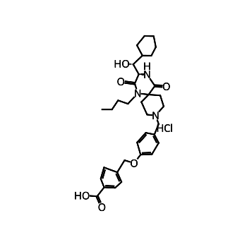 CCCCN1C(=O)[C@@H]([C@H](O)C2CCCCC2)NC(=O)C12CCN(Cc1ccc(OCc3ccc(C(=O)O)cc3)cc1)CC2.Cl